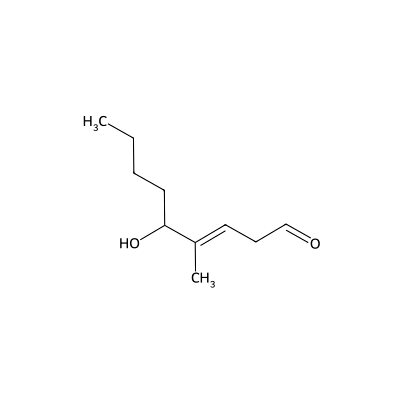 CCCCC(O)C(C)=CCC=O